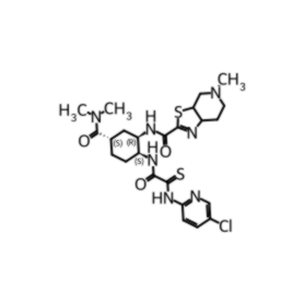 CN1CCC2N=C(C(=O)N[C@@H]3C[C@@H](C(=O)N(C)C)CC[C@@H]3NC(=O)C(=S)Nc3ccc(Cl)cn3)SC2C1